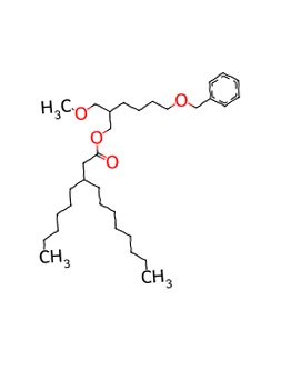 CCCCCCCCC(CCCCCC)CC(=O)OCC(CCCCOCc1ccccc1)COC